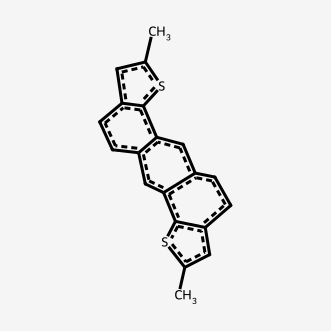 Cc1cc2ccc3cc4c(ccc5cc(C)sc54)cc3c2s1